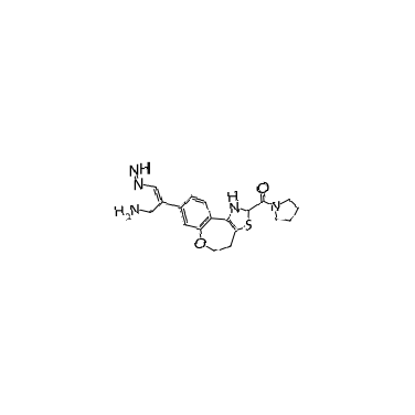 N=N/C=C(\CN)c1ccc2c(c1)OCCC1=C2NC(C(=O)N2CCCC2)S1